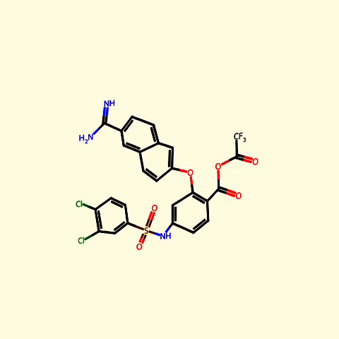 N=C(N)c1ccc2cc(Oc3cc(NS(=O)(=O)c4ccc(Cl)c(Cl)c4)ccc3C(=O)OC(=O)C(F)(F)F)ccc2c1